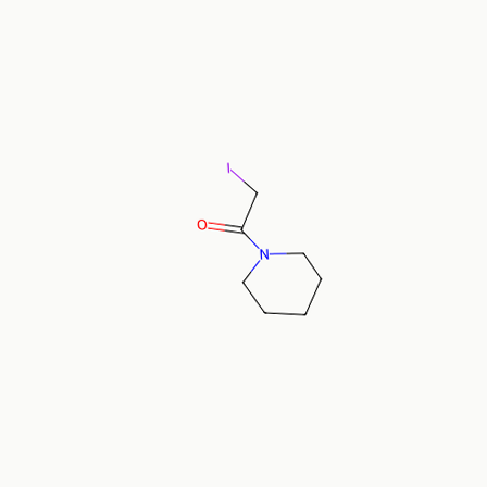 O=C(CI)N1CCCCC1